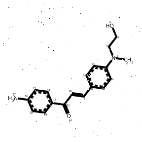 CN(CCO)c1ccc(C=CC(=O)c2ccc(N)cc2)cc1